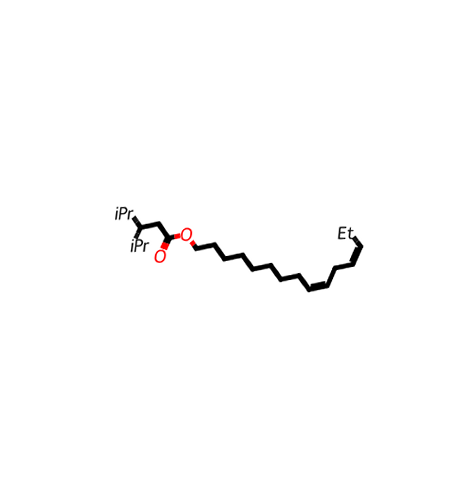 CC/C=C\C/C=C\CCCCCCCCOC(=O)CC(C(C)C)C(C)C